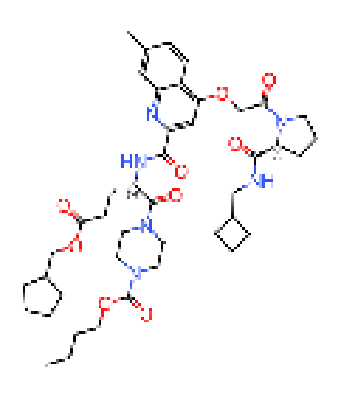 CCCCOC(=O)N1CCN(C(=O)[C@H](CCC(=O)OCC2CCCC2)NC(=O)c2cc(OCC(=O)N3CCC[C@H]3C(=O)NCC3CCC3)c3ccc(C)cc3n2)CC1